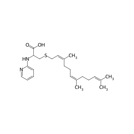 CC(C)=CCCC(C)=CCCC(C)=CCSCC(Nc1ccccn1)C(=O)O